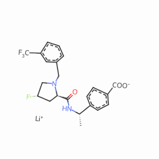 C[C@H](NC(=O)[C@H]1C[C@H](F)CN1Cc1cccc(C(F)(F)F)c1)c1ccc(C(=O)[O-])cc1.[Li+]